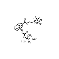 CC(C)(C)OC(=O)COC12CC3CC(C1)CC(C(=O)OCCC(F)(F)C(F)(F)S(=O)(=O)[O-])(C3)C2.[Na+]